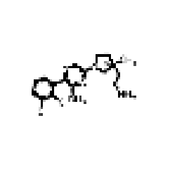 C[C@]1(CCN)CCN(c2cnc(-c3cccc(Cl)c3Cl)c(N)n2)C1